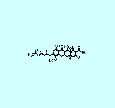 COc1c(CNCCOC(C)C)cc(O)c2c1CC1C[C@H]3CC(O)=C(C(N)=O)C(=O)[C@@]3(O)C(O)=C1C2=O